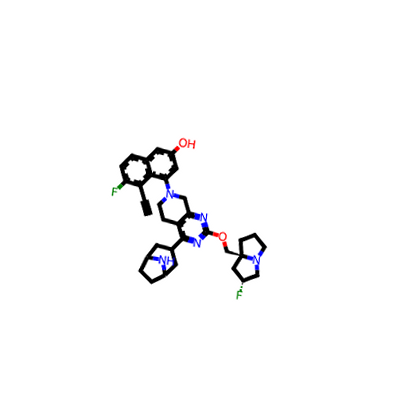 C#Cc1c(F)ccc2cc(O)cc(N3CCc4c(nc(OC[C@@]56CCCN5C[C@H](F)C6)nc4C4CC5CCC(C4)N5)C3)c12